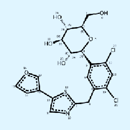 OC[C@H]1O[C@@H](c2cc(Cc3ncc(-c4ccoc4)s3)c(Cl)cc2Cl)[C@H](O)[C@@H](O)[C@@H]1O